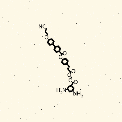 N#CCCCOc1ccc(-c2ccc(C(=O)Oc3ccc(/C=C/C(=O)OCOC(=O)c4cc(N)cc(N)c4)cc3)cc2)cc1